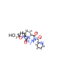 NN(C(=O)c1ccccn1)C(=O)[C@@H]1CC[C@@H]2CN1C(=O)N2OS(=O)(=O)O